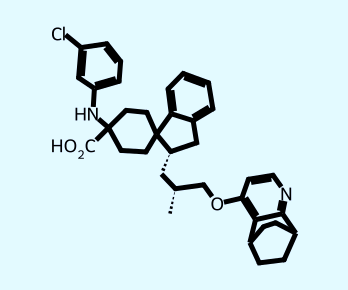 C[C@@H](COc1ccnc2c1C1CCC2CC1)C[C@H]1Cc2ccccc2C12CCC(Nc1cccc(Cl)c1)(C(=O)O)CC2